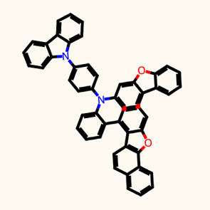 c1ccc(N(c2ccc(-n3c4ccccc4c4ccccc43)cc2)c2ccc3c(c2)oc2ccccc23)c(-c2cccc3oc4c5ccccc5ccc4c23)c1